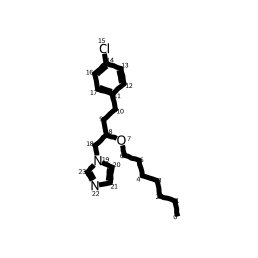 CCCCCCCOC(CCc1ccc(Cl)cc1)Cn1ccnc1